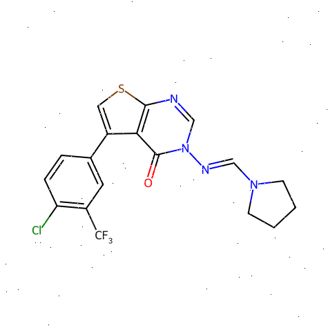 O=c1c2c(-c3ccc(Cl)c(C(F)(F)F)c3)csc2ncn1N=CN1CCCC1